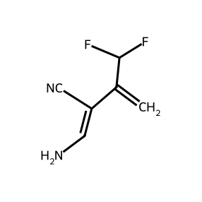 C=C(/C(C#N)=C/N)C(F)F